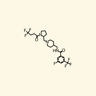 O=C(NCC1CCN(CC2CCCN2C(=O)CCC(F)(F)F)CC1)c1cc(F)cc(C(F)(F)F)c1